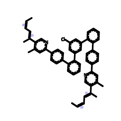 C/C=C\C=C(/C)c1cnc(-c2ccc(-c3ccccc3-c3cc(Cl)cc(-c4ccccc4-c4ccc(-c5cc(C)c(/C(C)=C/C=C\C)cn5)cc4)c3)cc2)cc1C